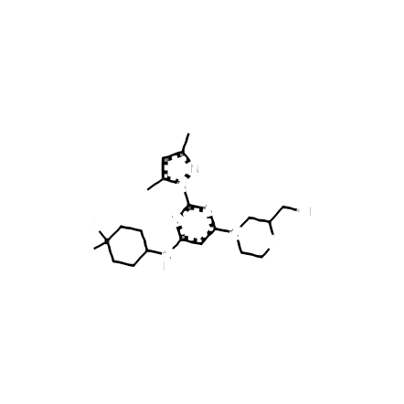 Cc1cc(C)n(-c2nc(NC3CCC(F)(F)CC3)cc(N3CCOC(CO)C3)n2)n1